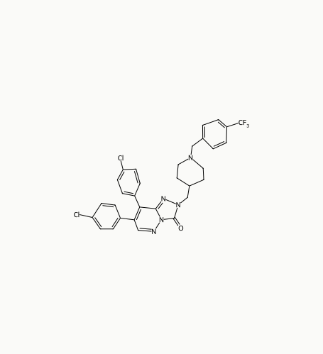 O=c1n(CC2CCN(Cc3ccc(C(F)(F)F)cc3)CC2)nc2c(-c3ccc(Cl)cc3)c(-c3ccc(Cl)cc3)cnn12